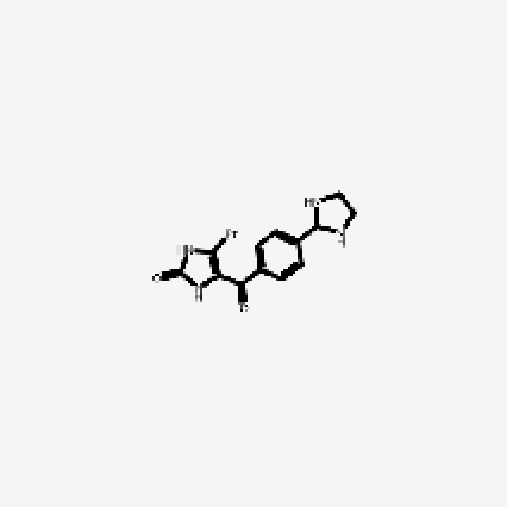 CCc1[nH]c(=O)[nH]c1C(=O)c1ccc(C2NCCN2)cc1